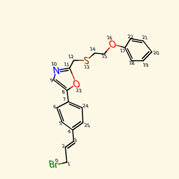 BrC/C=C/c1ccc(-c2cnc(CSCCOc3ccccc3)o2)cc1